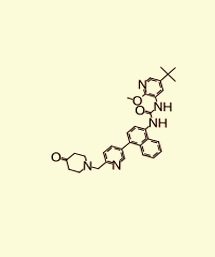 COc1ncc(C(C)(C)C)cc1NC(=O)Nc1ccc(-c2ccc(CN3CCC(=O)CC3)nc2)c2ccccc12